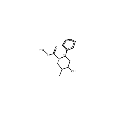 CC1CN(C(=O)OC(C)(C)C)[C@@H](c2ccccc2)CC1O